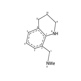 CNCc1cccc2c1NCCC2